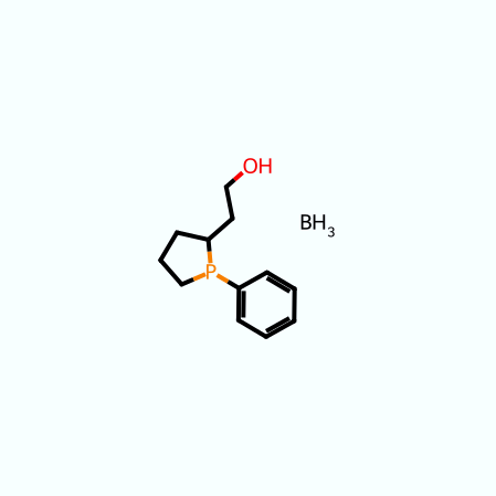 B.OCCC1CCCP1c1ccccc1